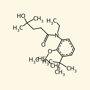 CCN(C(=O)CCC(C)(C)O)c1cccc(C(C)(C)C)c1O[SiH](C)C